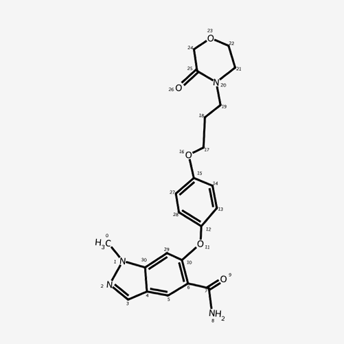 Cn1ncc2cc(C(N)=O)c(Oc3ccc(OCCCN4CCOCC4=O)cc3)cc21